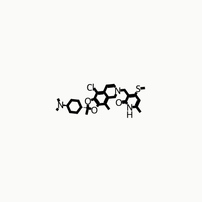 CSc1cc(C)[nH]c(=O)c1CN1C=Cc2c(Cl)c3c(c(C)c2C1)OC(C)([C@H]1CC[C@H](N(C)C)CC1)O3